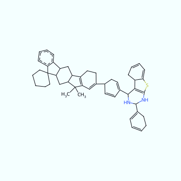 CC1(C)C2=C(CCC(C3C=CC(C4NC(C5=CC=CCC5)NC5=C4C4CC=CC=C4S5)=CC3)=C2)C2CC3c4ccccc4C4(CCCCC4)C3CC21